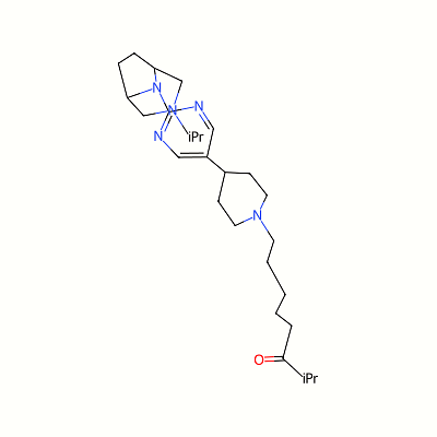 CC(C)C(=O)CCCCCN1CCC(c2cnc(N3C4CCC3CN(C(C)C)C4)nc2)CC1